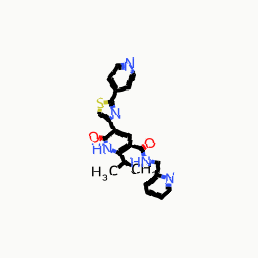 CC(C)c1[nH]c(=O)c(-c2csc(-c3ccncc3)n2)cc1C(=O)NCc1ccccn1